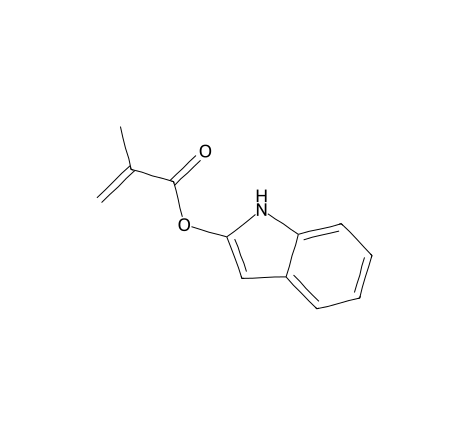 C=C(C)C(=O)Oc1cc2ccccc2[nH]1